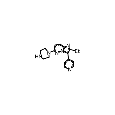 CCc1nc2ccc(N3CCNCC3)nn2c1-c1ccncc1